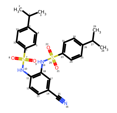 CC(C)c1ccc(S(=O)(=O)Nc2ccc(C#N)cc2NS(=O)(=O)c2ccc(C(C)C)cc2)cc1